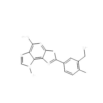 CNc1nc2sc(-c3ccc(F)c(CN)c3)nc2c2c1ncn2C